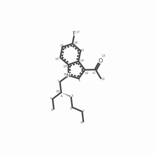 CCCC[C@H](CC)Cn1cc(C(C)=O)c2cc(F)ccc21